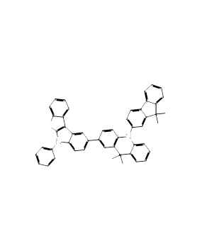 CC1(C)c2ccccc2-c2ccc(N3c4ccccc4C(C)(C)c4cc(-c5ccc6c(c5)c5c7ccccc7sc5n6-c5ccccc5)ccc43)cc21